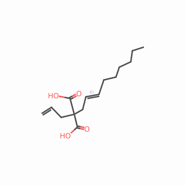 C=CCC(C/C=C/CCCCCC)(C(=O)O)C(=O)O